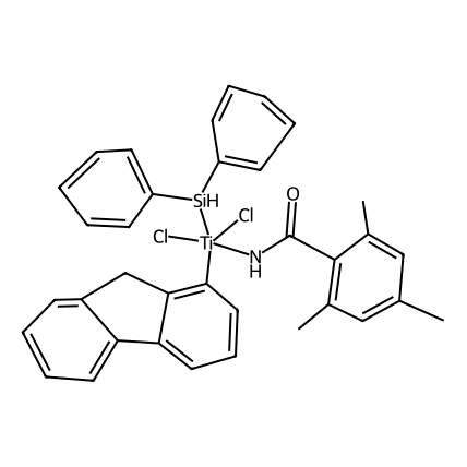 Cc1cc(C)c(C(=O)[NH][Ti]([Cl])([Cl])([c]2cccc3c2Cc2ccccc2-3)[SiH](c2ccccc2)c2ccccc2)c(C)c1